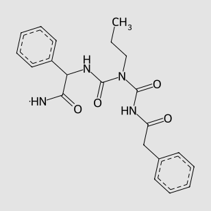 CCCN(C(=O)NC(=O)Cc1ccccc1)C(=O)NC(C([NH])=O)c1ccccc1